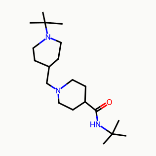 CC(C)(C)NC(=O)C1CCN(CC2CCN(C(C)(C)C)CC2)CC1